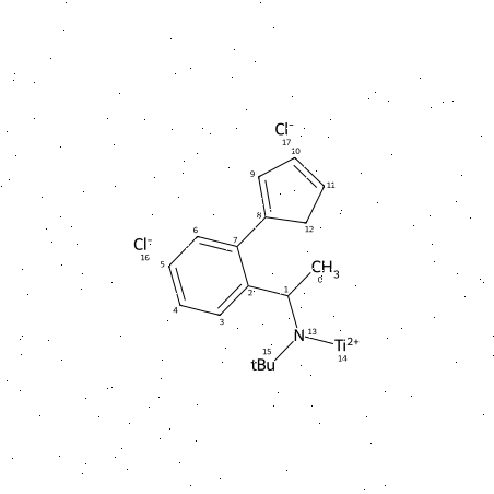 CC(c1ccccc1C1=CC=CC1)[N]([Ti+2])C(C)(C)C.[Cl-].[Cl-]